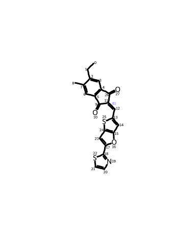 CCc1cc2c(cc1C)C(=O)/C(=C\c1cc3oc(-c4nccs4)cc3s1)C2=O